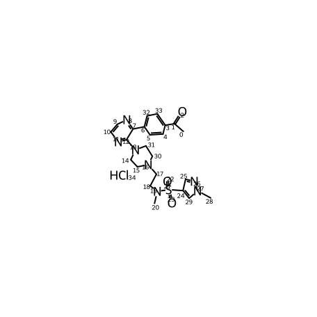 CC(=O)c1ccc(-c2nccnc2N2CCN(CCN(C)S(=O)(=O)c3cnn(C)c3)CC2)cc1.Cl